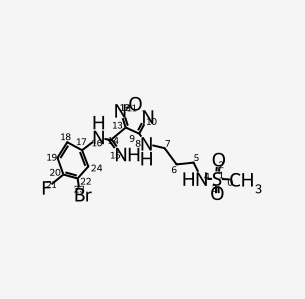 CS(=O)(=O)NCCCNc1nonc1C(=N)Nc1ccc(F)c(Br)c1